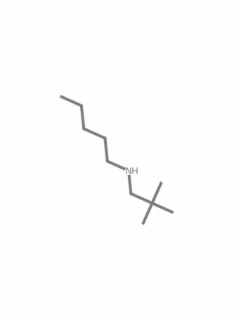 CCCCCNCC(C)(C)C